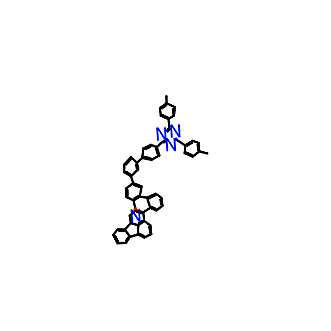 Cc1ccc(-c2nc(-c3ccc(C)cc3)nc(-c3ccc(-c4cccc(-c5ccc(C#N)c(-c6ccccc6-c6ccc7c8c(cccc68)-c6ccccc6-7)c5)c4)cc3)n2)cc1